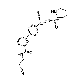 N#CCCNC(=O)c1cccc(-c2ccc([C@@H](C#N)CNC(=O)[C@@H]3CCCCN3)cc2)c1